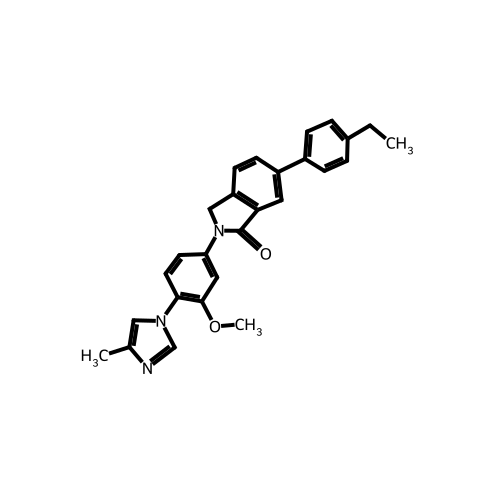 CCc1ccc(-c2ccc3c(c2)C(=O)N(c2ccc(-n4cnc(C)c4)c(OC)c2)C3)cc1